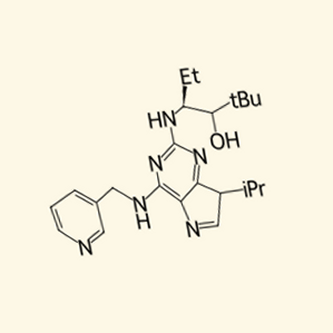 CC[C@H](Nc1nc(NCc2cccnc2)c2c(n1)C(C(C)C)C=N2)C(O)C(C)(C)C